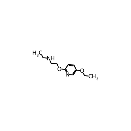 CCNCCOc1ccc(OCC)cn1